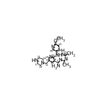 C=C(N)/N=C(C)\N=C(/N)c1cc(CN2CCNCC2)cnc1Nc1ccc(OC)nc1